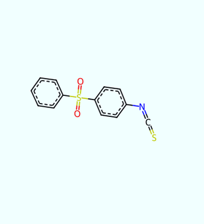 O=S(=O)(c1ccccc1)c1ccc(N=C=S)cc1